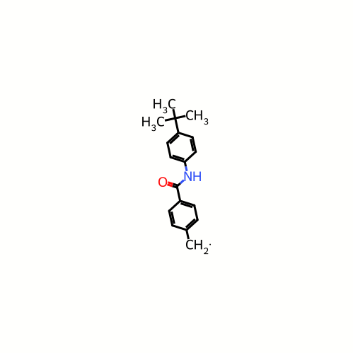 [CH2]c1ccc(C(=O)Nc2ccc(C(C)(C)C)cc2)cc1